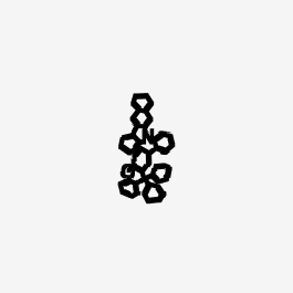 c1ccc(C2(c3ccccc3)c3ccccc3Oc3ccc(-c4ccccc4-n4c5ccccc5c5cc6ccccc6cc54)cc32)cc1